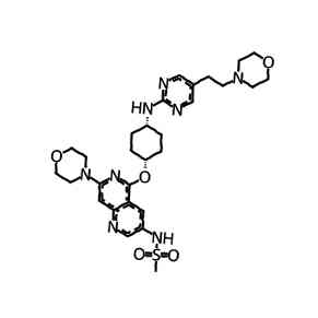 CS(=O)(=O)Nc1cnc2cc(N3CCOCC3)nc(O[C@H]3CC[C@@H](Nc4ncc(CCN5CCOCC5)cn4)CC3)c2c1